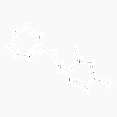 CN1C=C(Br)N=CC1NCC1=CC=CCC=C1